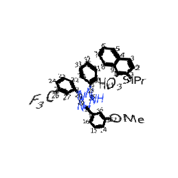 CC(C)c1ccc2ccccc2c1S(=O)(=O)O.COc1cccc(C2=NN(c3cccc(C(F)(F)F)c3)N(c3ccccc3)N2)c1